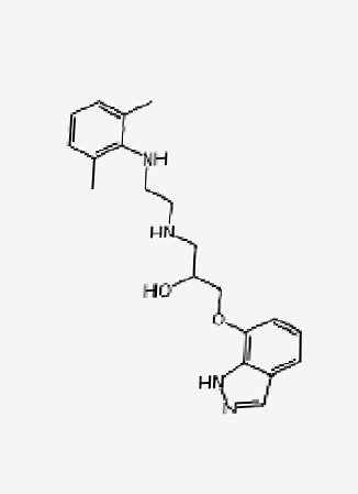 Cc1cccc(C)c1NCCNCC(O)COc1cccc2cn[nH]c12